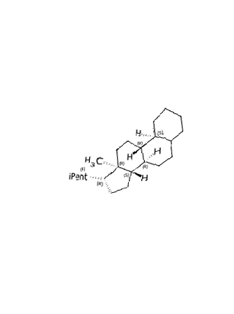 CCC[C@@H](C)[C@H]1CC[C@H]2[C@@H]3CCC4CCCC[C@@H]4[C@H]3CC[C@]12C